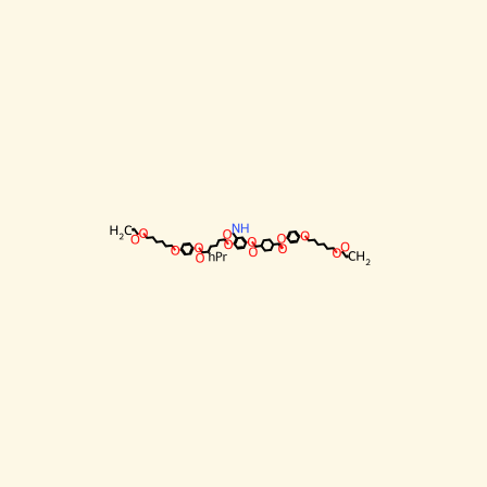 C=CC(=O)OCCCCCCOc1ccc(OC(=O)C(CCC)CCCC(=O)Oc2ccc(OC(=O)C3CCC(C(=O)Oc4ccc(OCCCCCCOC(=O)C=C)cc4)CC3)cc2C=N)cc1